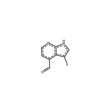 O=Cc1ccnc2[nH]cc(F)c12